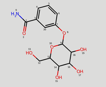 NC(=O)c1cccc(OC2OC(CO)C(O)C(O)C2O)c1